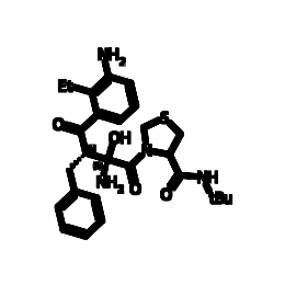 CCc1c(N)cccc1C(=O)[C@@H](Cc1ccccc1)[C@](N)(O)C(=O)N1CSCC1C(=O)NC(C)(C)C